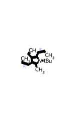 C=Cc1c(/C=C\C)c(C)n(C(C)(C)C)c1/C=C\C